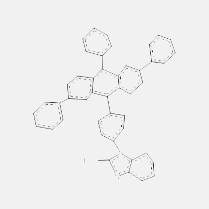 Cc1nc2ccccc2n1-c1ccc(-c2c3ccc(-c4ccccc4)cc3c(-c3ccccc3)c3ccc(-c4ccccc4)cc23)cc1